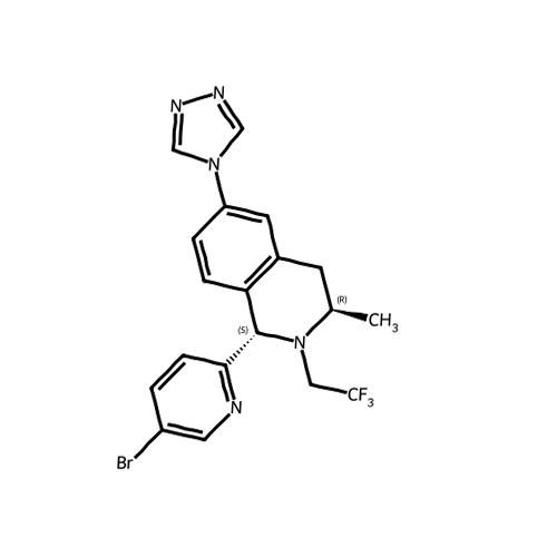 C[C@@H]1Cc2cc(-n3cnnc3)ccc2[C@@H](c2ccc(Br)cn2)N1CC(F)(F)F